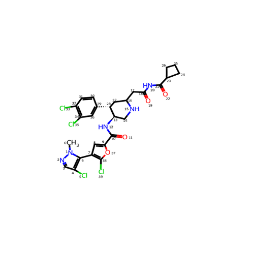 Cn1ncc(Cl)c1-c1cc(C(=O)N[C@@H]2CNC(CC(=O)NC(=O)C3CCC3)C[C@H]2c2ccc(Cl)c(Cl)c2)oc1Cl